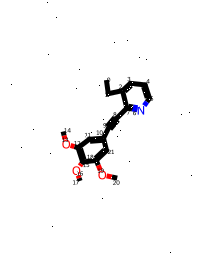 C[CH]c1cccnc1C#Cc1cc(OC)c(OC)c(OC)c1